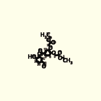 CCOC(=O)COc1ccc(C=O)cc1OCC(=O)OCC.O=Cc1ccc(O)c(O)c1